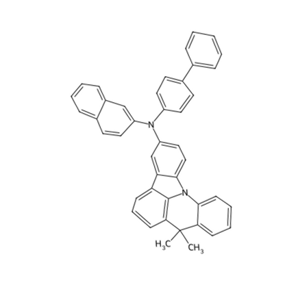 CC1(C)c2ccccc2-n2c3ccc(N(c4ccc(-c5ccccc5)cc4)c4ccc5ccccc5c4)cc3c3cccc1c32